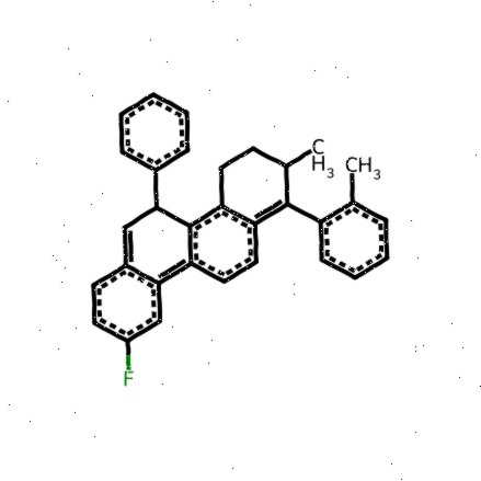 Cc1ccccc1C1=c2ccc3c(c2CCC1C)C(c1ccccc1)C=c1ccc(F)cc1=3